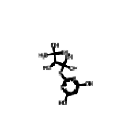 BC(B)(O)C(O)C(O)(O)Sc1nc(O)cc(O)n1